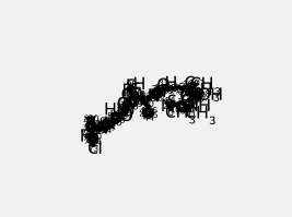 Cc1ncsc1-c1ccc([C@H](C)NC(=O)[C@@H]2C[C@@H](O)CN2C(=O)[C@@H](CCCCCCC(=O)N2CCN(CC[C@H](CSc3ccccc3)Nc3ccc(S(=O)(=O)NC(=O)c4ccc(N5CCN(CC6=C(c7ccc(Cl)cc7F)CCC7(CC7)C6)CC5)cc4)cc3S(=O)(=O)C(F)(F)F)CC2)C(C)(C)C)cc1